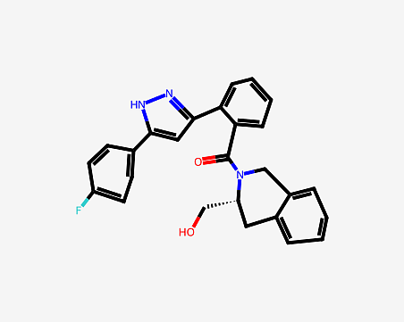 O=C(c1ccccc1-c1cc(-c2ccc(F)cc2)[nH]n1)N1Cc2ccccc2C[C@@H]1CO